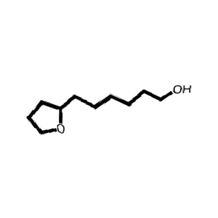 OCCCCCCC1CCCO1